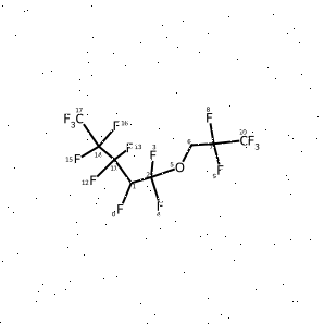 FC(C(F)(F)OCC(F)(F)C(F)(F)F)C(F)(F)C(F)(F)C(F)(F)F